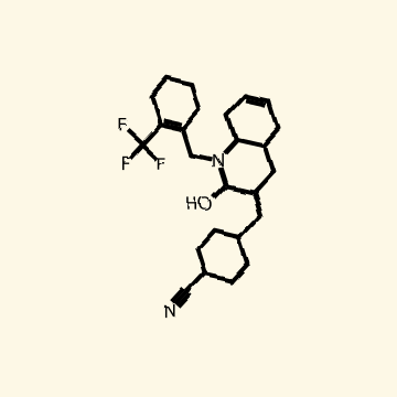 N#CC1CCC(CC2CC3CC=CCC3N(CC3=C(C(F)(F)F)CCCC3)C2O)CC1